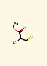 CCC(CS)C(=O)OC(C)(C)C